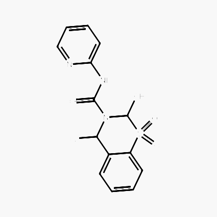 CC1N(C(=O)Nc2ccccn2)C(O)c2ccccc2S1(=O)=O